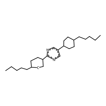 CCCCCC1CCC(c2cnc(C3CCC(CCCCC)CC3)nc2)CC1